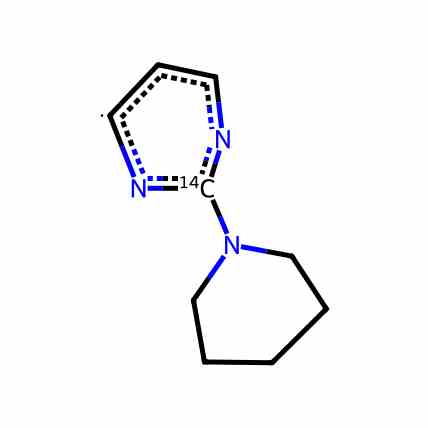 [c]1ccn[14c](N2CCCCC2)n1